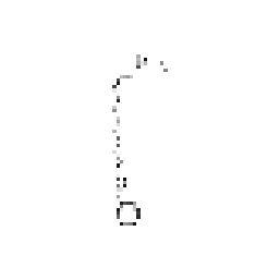 CC[C@H]1C[C@H]1C/C=C\CCCCCCCCOCc1ccccc1